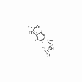 CC(=O)Nc1ccc([C@@H]2C[C@H]2NC(=O)O)cc1